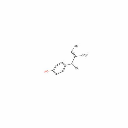 CCC(C(=CC(C)(C)C)C(=O)O)c1ccc(O)cc1